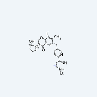 CCN/C=C\C(=N)c1ccc(Cc2cc3c(c(F)c2C)OCN([C@H]2CCC[C@@H]2O)C3=O)cn1